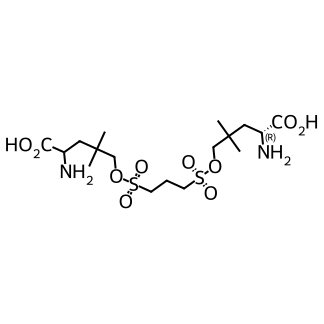 CC(C)(COS(=O)(=O)CCCS(=O)(=O)OCC(C)(C)C[C@@H](N)C(=O)O)CC(N)C(=O)O